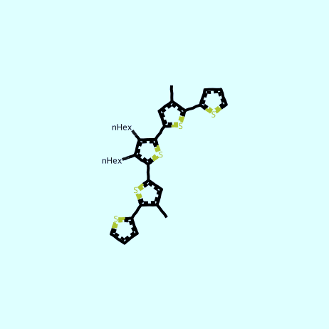 CCCCCCc1c(-c2cc(C)c(-c3cccs3)s2)sc(-c2cc(C)c(-c3cccs3)s2)c1CCCCCC